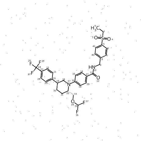 CCS(=O)(=O)c1ccc(CNC(=O)c2ccc(N3CC(c4ccc(C(F)(F)F)cc4)CC[C@H]3COC(F)F)cc2)cc1